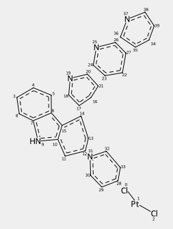 [Cl][Pt][Cl].c1ccc2c(c1)[nH]c1ccccc12.c1ccncc1.c1ccncc1.c1ccncc1.c1ccncc1